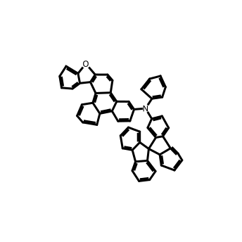 c1ccc(N(c2ccc3c(c2)C2(c4ccccc4-c4ccccc42)c2ccccc2-3)c2ccc3c4ccccc4c4c(ccc5oc6ccccc6c54)c3c2)cc1